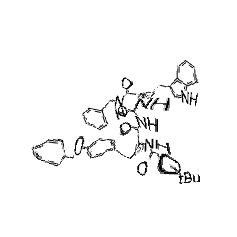 CC(C)(C)OC(=O)N[C@@H](Cc1ccc(OCc2ccccc2)cc1)C(=O)NC(=O)N[C@@H](Cc1c[nH]c2ccccc12)C(=O)NCc1ccccc1